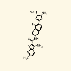 CO[C@H]1CN(c2ccc3c(c2F)OC[C@H](NC(=O)c2sc4nc(C)ccc4c2N)C3)C[C@@H]1N